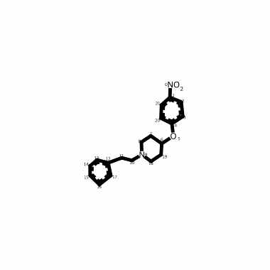 O=[N+]([O-])c1ccc(OC2CCN(CCc3ccccc3)CC2)cc1